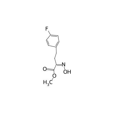 COC(=O)C(CCc1ccc(F)cc1)=NO